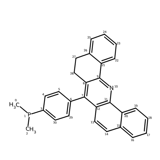 CP(C)c1ccc(-c2c3c(nc4c2ccc2ccccc24)-c2ccccc2CC3)cc1